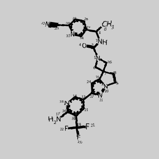 CC(NC(=O)N1CC2(CCn3nc(-c4cnc(N)c(C(F)(F)F)c4)cc32)C1)c1ccc(C#N)nc1